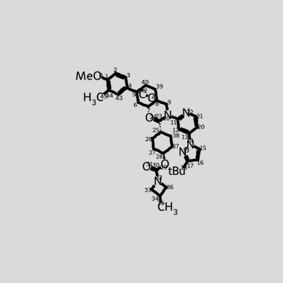 COc1ccc(C23CCC(CN(c4cc(-n5ccc(C(C)(C)C)n5)ccn4)C(=O)[C@H]4CC[C@H](OC(=O)N5CC(C)C5)CC4)(CC2)CC3)cc1C